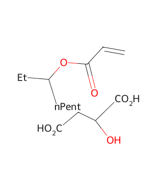 C=CC(=O)OC(CC)CCCCC.O=C(O)CC(O)C(=O)O